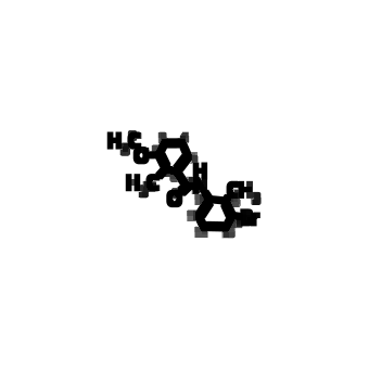 COc1cccc(C(=O)Nc2cccc(Br)c2C)c1C